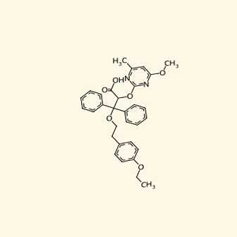 CCOc1ccc(CCOC(c2ccccc2)(c2ccccc2)C(Oc2nc(C)cc(OC)n2)C(=O)O)cc1